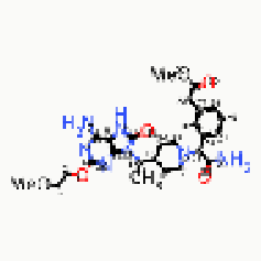 COCCOc1nc(N)c2[nH]c(=O)n(C(C)C3CCN(C(C(N)=O)c4cccc(CC(=O)OC)c4)CC3)c2n1